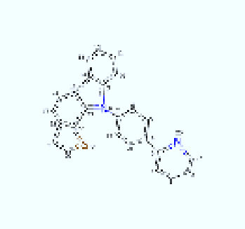 c1ccc(-c2ccc(-n3c4ccccc4c4ccc5ccsc5c43)cc2)nc1